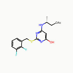 CC(=O)OC[C@@H](C)Nc1cc(O)nc(SCc2cccc(F)c2F)n1